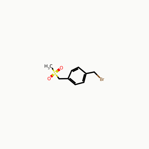 CS(=O)(=O)Cc1ccc(CBr)cc1